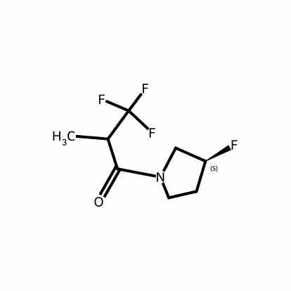 CC(C(=O)N1CC[C@H](F)C1)C(F)(F)F